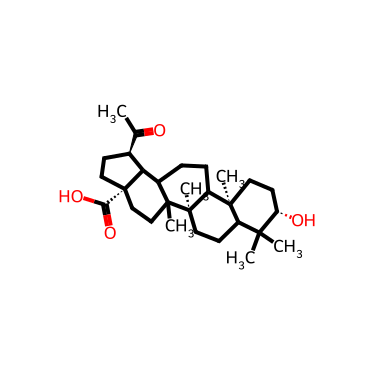 CC(=O)[C@@H]1CC[C@]2(C(=O)O)CCC3(C)C(CCC4[C@@]5(C)CC[C@H](O)C(C)(C)C5CC[C@]43C)C12